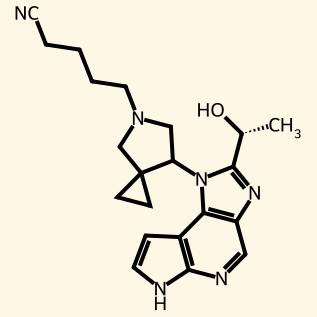 C[C@@H](O)c1nc2cnc3[nH]ccc3c2n1C1CN(CCCCC#N)CC12CC2